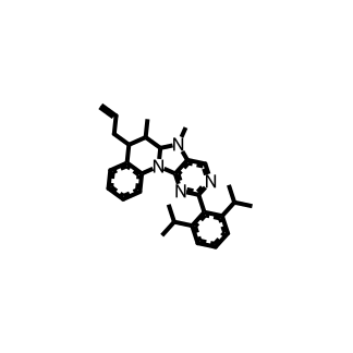 C=CCC1c2ccccc2N2c3nc(-c4c(C(C)C)cccc4C(C)C)ncc3N(C)C2C1C